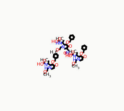 CCC(NC(=O)O)c1c(OCc2ccccc2)c(=O)c(C[N+](=O)[O-])cn1CCOC.CCC(NC(=O)O)c1c(OCc2ccccc2)c(=O)ccn1CCOC.CCC(NC(=O)O)c1c(OCc2ccccc2)c(=O)ccn1CCOC